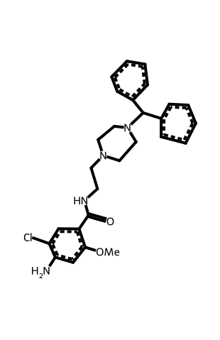 COc1cc(N)c(Cl)cc1C(=O)NCCN1CCN(C(c2ccccc2)c2ccccc2)CC1